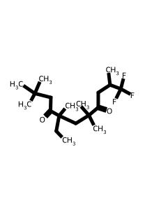 CCC(C)(CC(C)(C)C(=O)CC(C)C(F)(F)F)C(=O)CC(C)(C)C